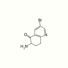 NC1CCc2ncc(Br)cc2C1=O